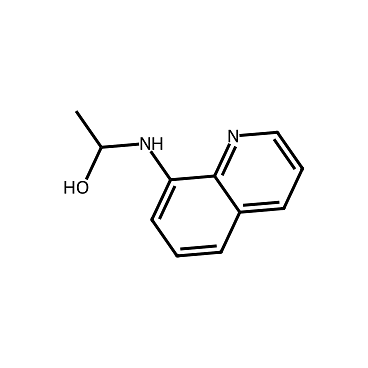 CC(O)Nc1cccc2cccnc12